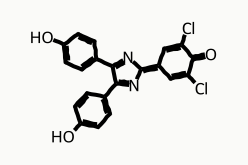 O=C1C(Cl)=CC(=C2N=C(c3ccc(O)cc3)C(c3ccc(O)cc3)=N2)C=C1Cl